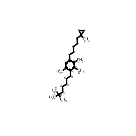 Cc1cc(CCCCCC2(C)CC2)c(C)c(C)c1CCCCCC(C)(C)C